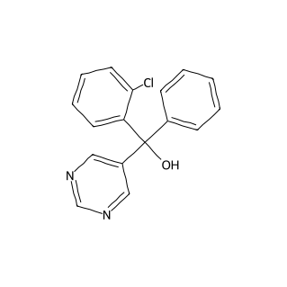 OC(c1ccccc1)(c1cncnc1)c1ccccc1Cl